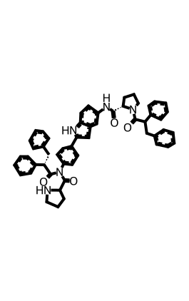 O=C(Nc1ccc2[nH]c(-c3ccc(N(C(=O)C4CCCN4)C(=O)[C@@H](Cc4ccccc4)c4ccccc4)cc3)cc2c1)[C@@H]1CCCN1C(=O)C(Cc1ccccc1)c1ccccc1